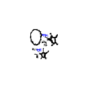 CC1=C(C)C(C)[C]([Ti]([NH]C2CCCCCCCCCCC2)[SiH](C)C)=C1C.CCC(C)[NH][Ti]([C]1=C(C)C(C)=C(C)C1C)[SiH](C)C